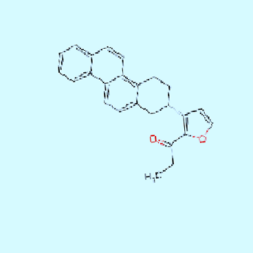 CCC(=O)c1occc1[C@H]1CCc2c(ccc3c2ccc2ccccc23)C1